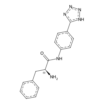 N[C@@H](Cc1ccccc1)C(=O)Nc1ccc(-c2nnn[nH]2)cc1